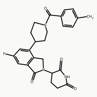 Cc1ccc(C(=O)N2CCC(c3cc(F)cc4c3CN(C3CCC(=O)NC3=O)C4=O)CC2)cc1